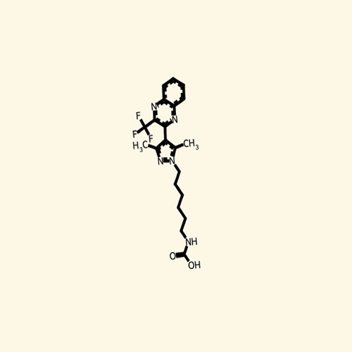 Cc1nn(CCCCCCNC(=O)O)c(C)c1-c1nc2ccccc2nc1C(F)(F)F